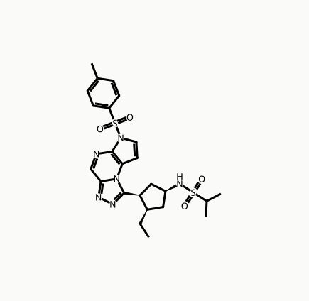 CC[C@@H]1C[C@H](NS(=O)(=O)C(C)C)C[C@@H]1c1nnc2cnc3c(ccn3S(=O)(=O)c3ccc(C)cc3)n12